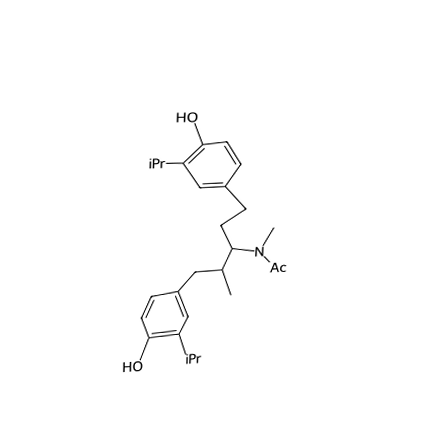 CC(=O)N(C)C(CCc1ccc(O)c(C(C)C)c1)C(C)Cc1ccc(O)c(C(C)C)c1